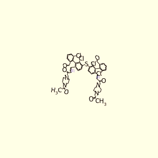 CC(=O)N1CCN(C(=O)/C=C/c2ccc(Sc3ccc(/C=C/C(=O)N4CCN(C(C)=O)CC4)c(-c4c(Cl)cccc4C=O)c3Cl)c(Cl)c2-c2c(Cl)cccc2C=O)CC1